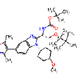 CO[C@H]1CC[C@H](n2c([C@@H](CO[Si](C)(C)C(C)(C)C)NC(=O)OC(C)(C)C)nc3cc(-c4c(C)noc4C)ccc32)CC1